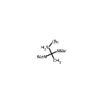 CNC(C)(NC)[SiH2]C(C)(C)C